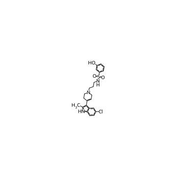 Cc1[nH]c2ccc(Cl)cc2c1C1=CCN(CCCNS(=O)(=O)c2cccc(O)c2)CC1